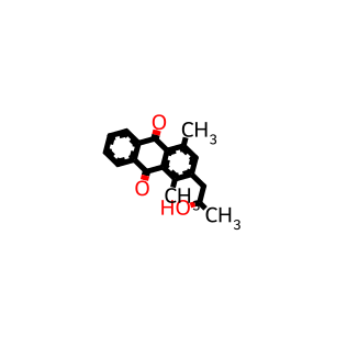 Cc1cc(CC(C)O)c(C)c2c1C(=O)c1ccccc1C2=O